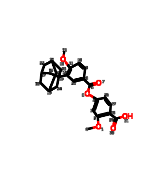 COc1cc(OC(=O)c2ccc(OC)c(C34CC5CC(CC(C5)C3)C4)c2)ccc1C(=O)O